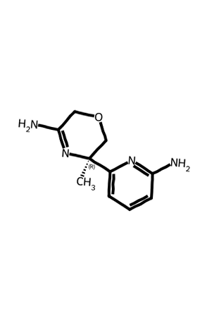 C[C@@]1(c2cccc(N)n2)COCC(N)=N1